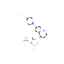 COc1cnc(-c2cc3c(N4C[C@@H](C)[C@@](C#N)(C5CC5)C4=O)ccnn3c2)cn1